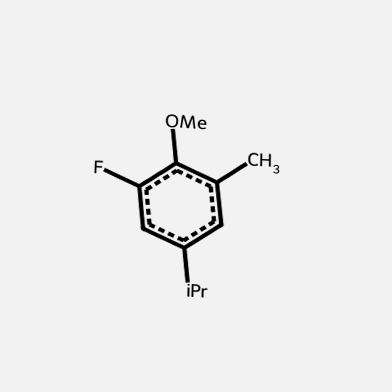 COc1c(C)cc(C(C)C)cc1F